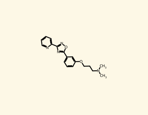 CN(C)CCCOc1cccc(-c2nc(-c3ccccn3)no2)c1